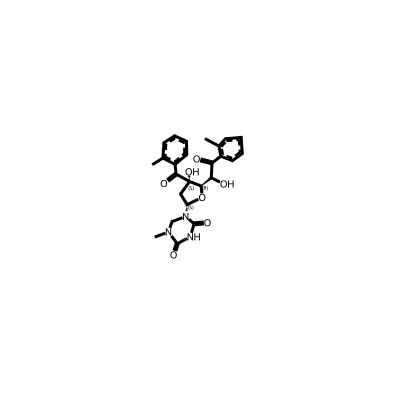 Cc1ccccc1C(=O)C(O)[C@H]1O[C@H](N2CN(C)C(=O)NC2=O)C[C@@]1(O)C(=O)c1ccccc1C